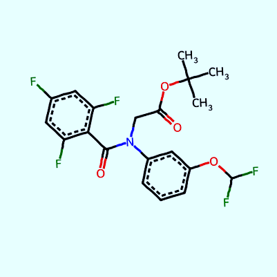 CC(C)(C)OC(=O)CN(C(=O)c1c(F)cc(F)cc1F)c1cccc(OC(F)F)c1